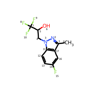 Cc1nn(CC(O)C(F)(F)F)c2ccc(F)cc12